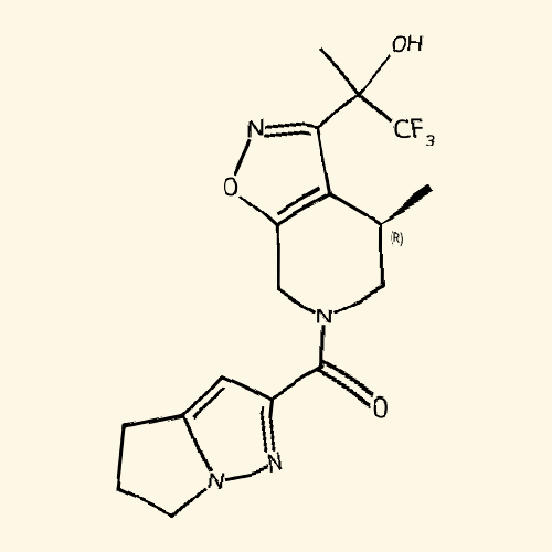 C[C@H]1CN(C(=O)c2cc3n(n2)CCC3)Cc2onc(C(C)(O)C(F)(F)F)c21